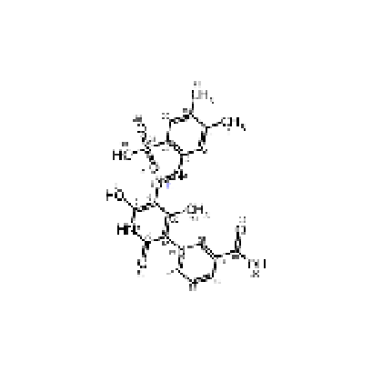 Cc1cc(/N=N/c2c(O)[nH]c(=O)c(-[n+]3cccc(C(=O)O)c3)c2C)c(S(=O)(=O)O)cc1C